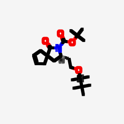 CC(C)(C)OC(=O)N1C(=O)C2(CC=CC2)C[C@H]1CCO[Si](C)(C)C(C)(C)C